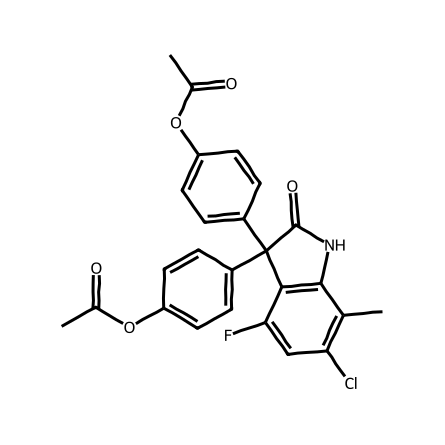 CC(=O)Oc1ccc(C2(c3ccc(OC(C)=O)cc3)C(=O)Nc3c(C)c(Cl)cc(F)c32)cc1